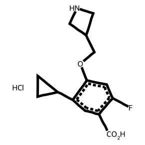 Cl.O=C(O)c1cc(C2CC2)c(OCC2CNC2)cc1F